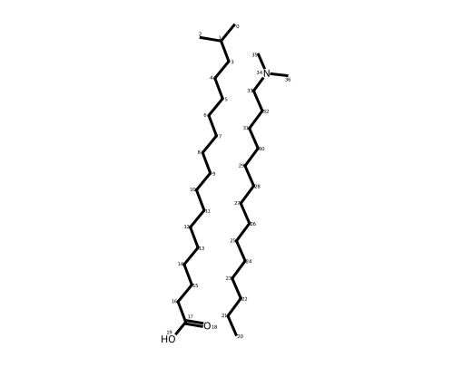 CC(C)CCCCCCCCCCCCCCC(=O)O.CCCCCCCCCCCCCCN(C)C